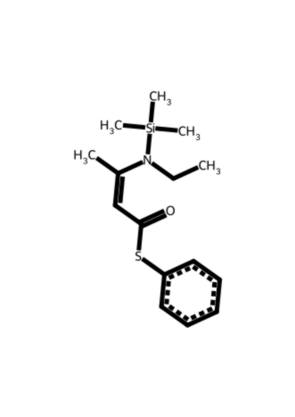 CCN(/C(C)=C\C(=O)Sc1ccccc1)[Si](C)(C)C